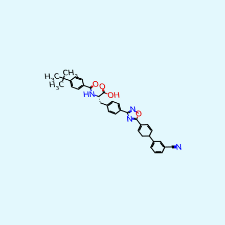 CC(C)(C)c1ccc(C(=O)N[C@@H](Cc2ccc(-c3noc(C4=CCC(c5cccc(C#N)c5)C=C4)n3)cc2)C(=O)O)cc1